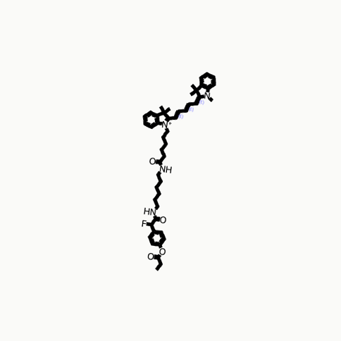 CCC(=O)Oc1ccc(C(F)C(=O)NCCCCCCNC(=O)CCCCC[N+]2=C(/C=C/C=C/C=C3/N(C)c4ccccc4C3(C)C)C(C)(C)c3ccccc32)cc1